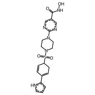 O=C(NO)c1cnc(N2CCN(S(=O)(=O)C3C=CC(c4ccc[nH]4)=CC3)CC2)nc1